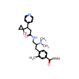 CNC(=O)c1ccc(CC(CNC(=O)CC(c2ccncc2)C2(C(F)(F)F)CC2)N(C)C)c(C)c1